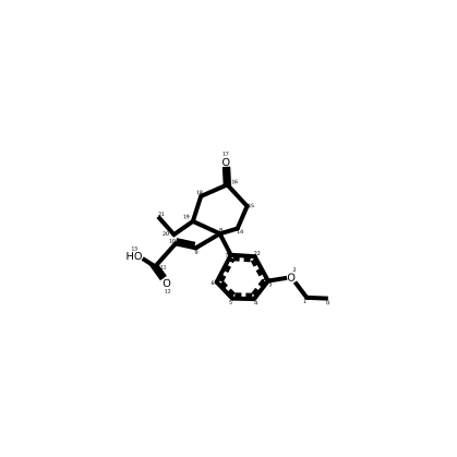 CCOc1cccc(C2(C=CC(=O)O)CCC(=O)CC2CC)c1